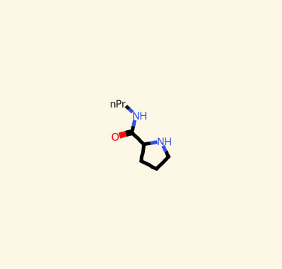 CCCNC(=O)C1CCCN1